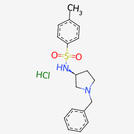 Cc1ccc(S(=O)(=O)N[C@H]2CCN(Cc3ccccc3)C2)cc1.Cl